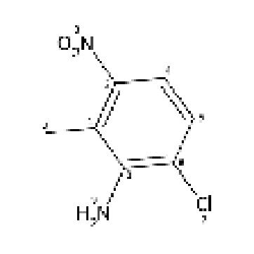 Cc1c([N+](=O)[O-])ccc(Cl)c1N